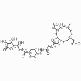 CN1CCN(CC=O)CCN(CC(=O)NCC(=O)NCC2CCC(C(=O)NCC(O)C3OC(=O)C(O)=C3O)CC2)CCN(CC(=O)O)CC1